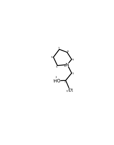 CCC(O)CN1CCCCC1